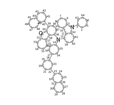 c1ccc(-n2c3ccccc3c3c(N(c4ccc(-c5cccc(-c6ccc7ccccc7c6)c5)cc4)c4ccc(-c5cccc6ccccc56)c5oc6ccccc6c45)cccc32)cc1